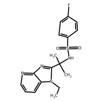 CCn1c(C(C)(C)NS(=O)(=O)c2ccc(F)cc2)nc2ncccc21